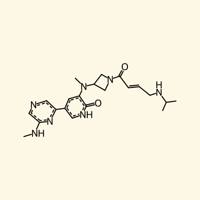 CNc1cncc(-c2c[nH]c(=O)c(N(C)C3CN(C(=O)C=CCNC(C)C)C3)c2)n1